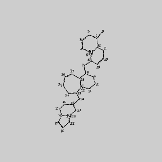 CC1CCCN2C(CC3CCCN4C(CC5CCC6CCCN6C5)CCCCC34)C=CCC12